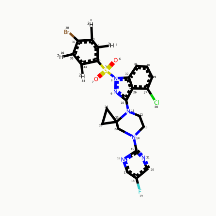 [2H]c1c([2H])c(S(=O)(=O)n2nc(N3CCN(c4ncc(F)cn4)CC34CC4)c3c(Cl)cccc32)c([2H])c([2H])c1Br